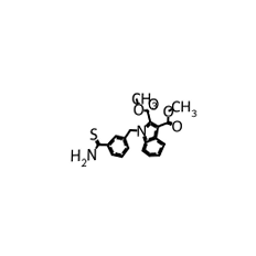 COC(=O)c1c(C(=O)OC)n(Cc2cccc(C(N)=S)c2)c2ccccc12